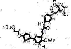 CCCCOCCOc1ccc(-c2cc(C)c(OC)c(/C=C/C(=O)Nc3ccc([S@+]([O-])Cc4c(C)ncn4CC)cc3)c2)cc1